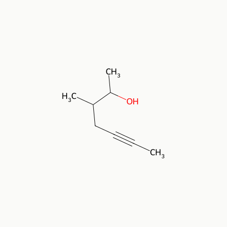 CC#CCC(C)C(C)O